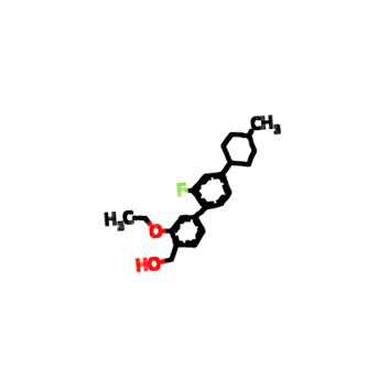 CCOc1cc(-c2ccc(C3CCC(C)CC3)cc2F)ccc1CO